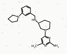 Cc1cc(N2CCC[C@H](NCc3cccc(N4CCCC4)c3)C2)nc(N)n1